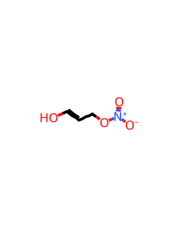 O=[N+]([O-])OCC=CO